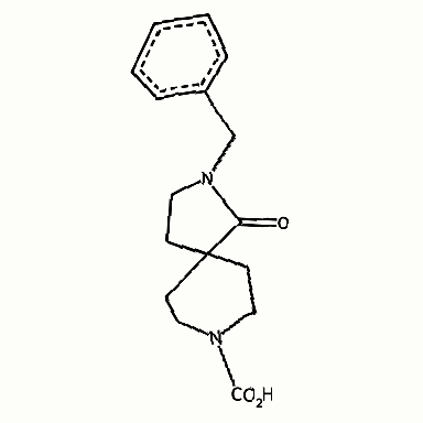 O=C(O)N1CCC2(CC1)CCN(Cc1ccccc1)C2=O